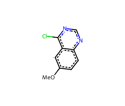 COc1[c]c2c(Cl)ncnc2cc1